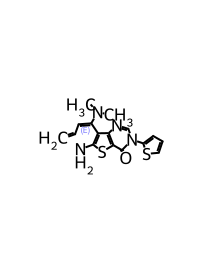 C=C/C=C(\c1c(N)sc2c(=O)n(-c3cccs3)cnc12)N(C)C